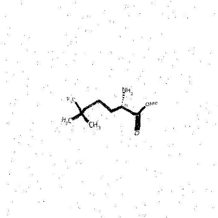 COC(=O)[C@@H](N)CCC(C)(C)C(F)(F)F